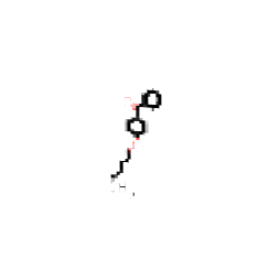 CCCCCCOc1ccc(C(=O)c2ccccc2)cc1